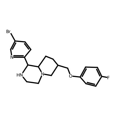 Fc1ccc(OCC2CCC3C(c4ccc(Br)cn4)NCCN3C2)cc1